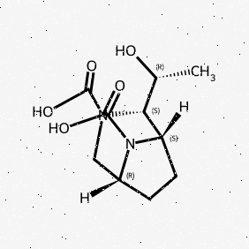 C[C@@H](O)[C@@H]1[C@@H]2CC[C@H](CN1C(=O)O)N2C(=O)O